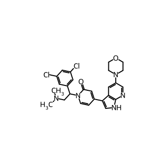 CN(C)CC(c1cc(Cl)cc(Cl)c1)n1ccc(-c2c[nH]c3ncc(N4CCOCC4)cc23)cc1=O